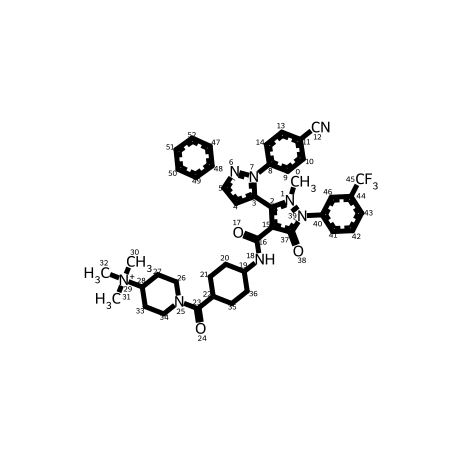 Cn1c(-c2ccnn2-c2ccc(C#N)cc2)c(C(=O)NC2CCC(C(=O)N3CCC([N+](C)(C)C)CC3)CC2)c(=O)n1-c1cccc(C(F)(F)F)c1.c1ccccc1